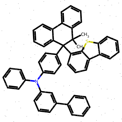 CC1(C)c2ccccc2-c2ccccc2C1(c1ccc(N(c2ccccc2)c2cccc(-c3ccccc3)c2)cc1)c1cccc2c1sc1ccccc12